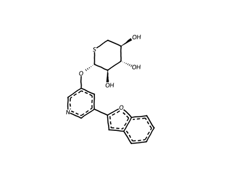 O[C@@H]1[C@@H](O)[C@H](Oc2cncc(-c3cc4ccccc4o3)c2)SC[C@H]1O